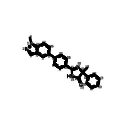 Cn1ncc2cc(-c3ccc(C4=NC(C)(c5ccccc5)C(=O)N4)cc3)ccc21